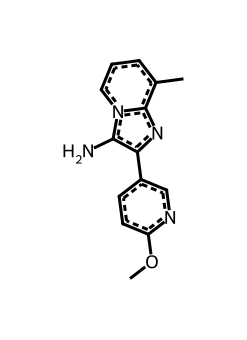 COc1ccc(-c2nc3c(C)cccn3c2N)cn1